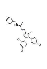 Cc1c(/C=C/C(=O)NCc2ccccc2)nn(-c2ccc(Cl)cc2Cl)c1-c1ccc(Cl)cc1